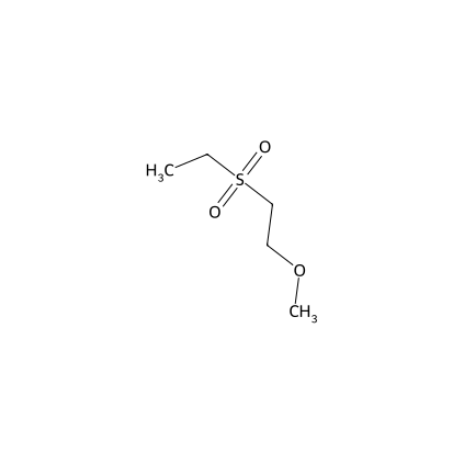 CCS(=O)(=O)CCOC